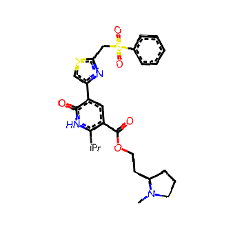 CC(C)c1[nH]c(=O)c(-c2csc(CS(=O)(=O)c3ccccc3)n2)cc1C(=O)OCCC1CCCN1C